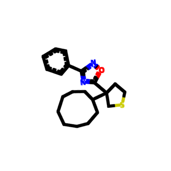 c1ccc(-c2noc(C3(C4CCCCCCCC4)CCSC3)n2)cc1